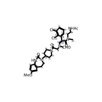 COc1ccc2c(c1)CCN(C1CCN(C(=O)CN(C=O)/C=C(\C(=O)N(C)CCNC(C)=O)c3cccc(Cl)c3Cl)CC1)C(=O)N2